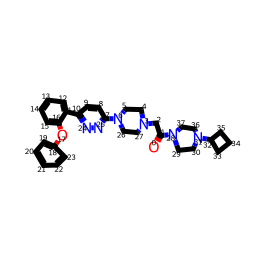 O=C(CN1CCN(c2ccc(-c3ccccc3Oc3ccccc3)nn2)CC1)N1CCN(C2CCC2)CC1